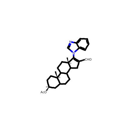 CC(=O)O[C@H]1CC[C@@]2(C)C(CCC3C2CC[C@]2(C)C(n4cnc5ccccc54)=C(C=O)CC32)C1